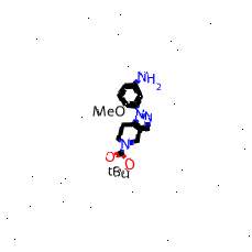 COc1ccc(N)cc1-n1ncc2c1CCN(C(=O)OC(C)(C)C)C2